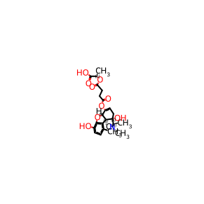 Cc1ccc(O)c2c1[C@]13CCN(C)[C@H](C)[C@]1(O)CC=C(OC(=O)CCC(=O)O[C@@H](C)C(=O)O)[C@@H]3O2